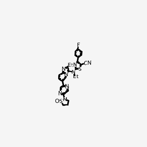 CCc1nc2ccc(-c3cnc(N4CCC[S+]4[O-])cn3)cn2c1N(CC)c1nc(-c2ccc(F)cc2)c(C#N)s1